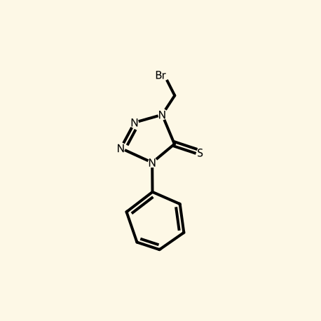 S=c1n(CBr)nnn1-c1ccccc1